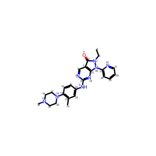 CCn1c(=O)c2cnc(Nc3ccc(N4CCN(C)CC4)c(C)c3)nc2n1-c1ccccn1